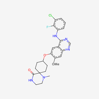 COc1cc2ncnc(Nc3cccc(Cl)c3F)c2cc1OC1CCC2(CC1)C(=O)NCCN2C